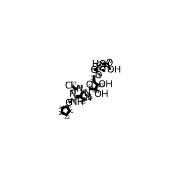 O=P(O)(O)CP(=O)(O)OCC1O[C@@H](n2ncc3c(NOC4CCCC4)nc(Cl)nc32)[C@H](O)[C@@H]1O